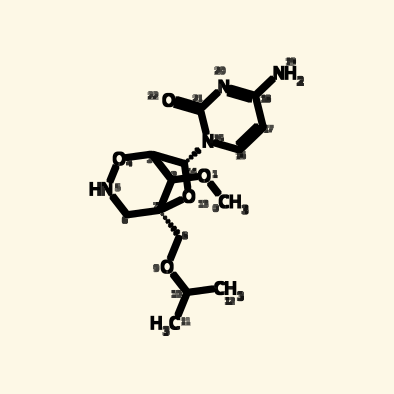 COC1C2ONC[C@]1(COC(C)C)O[C@H]2n1ccc(N)nc1=O